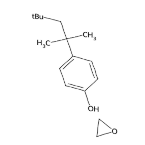 C1CO1.CC(C)(C)CC(C)(C)c1ccc(O)cc1